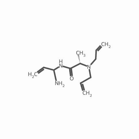 C=CCN(CC=C)[C@@H](C)C(=O)NC(N)C=C